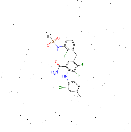 CCS(=O)(=O)Nc1cccc(Cc2cc(C(N)=O)c(Nc3ccc(C)cc3Cl)c(F)c2F)c1F